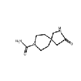 NC(=O)N1CCC2(CC1)CNC(=O)C2